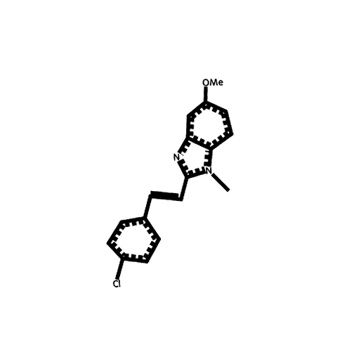 COc1ccc2c(c1)nc(C=Cc1ccc(Cl)cc1)n2C